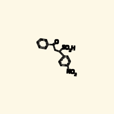 O=C(CC(c1ccc([N+](=O)[O-])cc1)S(=O)(=O)O)c1ccccc1